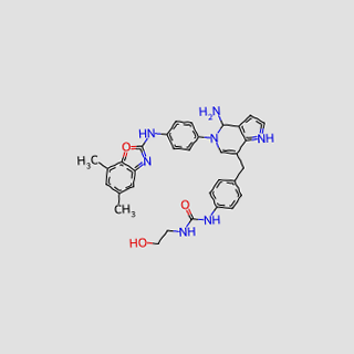 Cc1cc(C)c2oc(Nc3ccc(N4C=C(Cc5ccc(NC(=O)NCCO)cc5)c5[nH]ccc5C4N)cc3)nc2c1